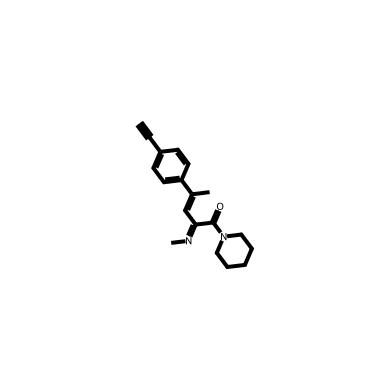 C#Cc1ccc(/C(C)=C/C(=N\C)C(=O)N2CCCCC2)cc1